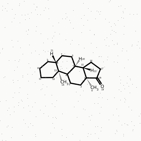 C[C@]12CCC3[C@@H](CC[C@H]4CCCC[C@]34C)[C@@H]1CCC2=O